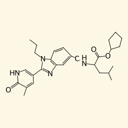 CCCn1c(-c2c[nH]c(=O)c(C)c2)nc2cc(CNC(CC(C)C)C(=O)OC3CCCC3)ccc21